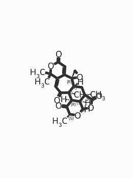 C[C@@H]1O[C@@H]2OC(=O)[C@]3(C)C[C@@H]4[C@](C)(C(=O)C=C5C(=CC(=O)OC5(C)C)[C@@]45CO5)[C@H](C1=O)[C@H]23